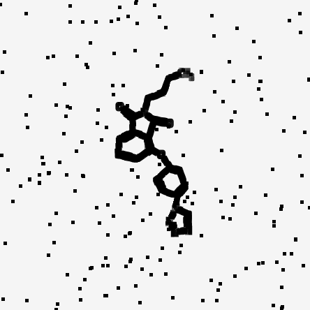 CCCCN1C(=O)c2cccc(Oc3ccc(-n4cnnn4)cc3)c2C1=O